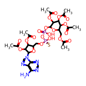 CC(=O)OCC1OC(OP(=O)(O)OP(O)(=S)OCC2OC(n3cnc4c(N)ncnc43)C(OC(C)=O)C2OC(C)=O)C(OC(C)=O)C(OC(C)=O)C1OC(C)=O